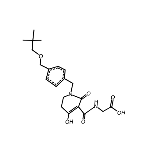 CC(C)(C)COCc1ccc(CN2CCC(O)=C(C(=O)NCC(=O)O)C2=O)cc1